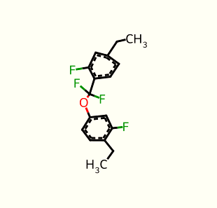 CCc1ccc(C(F)(F)Oc2ccc(CC)c(F)c2)c(F)c1